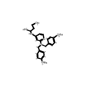 CCCC(CCO)Nc1ccnc(N(Cc2ccc(OC)cc2)Cc2ccc(OC)cc2)c1